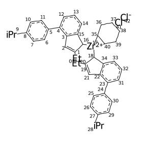 CCC1=Cc2c(-c3ccc(C(C)C)cc3)cccc2[CH]1[Zr+2]1([CH]2C(CC)=Cc3c(-c4ccc(C(C)C)cc4)cccc32)[CH]2CCCC[CH]21.[Cl-].[Cl-]